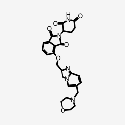 O=C1CCC(N2C(=O)c3cccc(OCC4CN5C=C(CN6CCOCC6)C=CC5=N4)c3C2=O)C(=O)N1